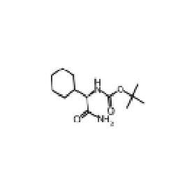 CC(C)(C)OC(=O)N[C@@H](C(N)=O)C1CCCCC1